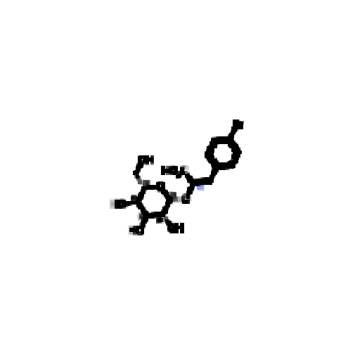 O=C(O)/C(=C\c1ccc(Br)cc1)O[C@H]1O[C@@H](CO)[C@H](O)[C@H](O)[C@H]1O